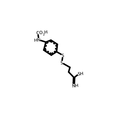 N=C(S)CCSSc1ccc(NC(=O)O)cc1